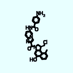 Cc1cccc2c(O)cc3c(c12)[C@H](CCl)CN3C(=O)c1cn2cc(NC(=O)c3ccc(N)cc3)ccc2n1